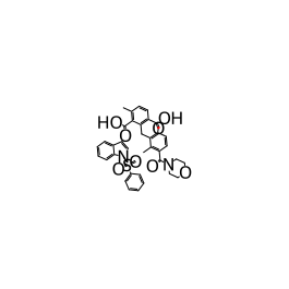 Cc1ccc(C(=O)N2CCOCC2)c(C)c1Cc1c(C(=O)O)ccc(C)c1C(=O)O.O=S(=O)(c1ccccc1)n1ccc2ccccc21